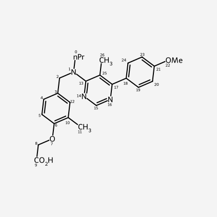 CCCN(Cc1ccc(OCC(=O)O)c(C)c1)c1ncnc(-c2ccc(OC)cc2)c1C